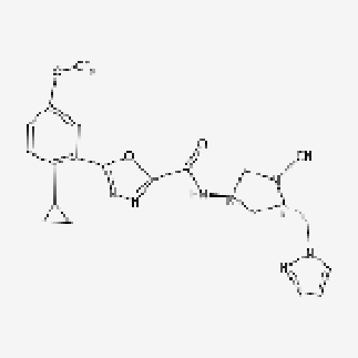 N#CN1C[C@H](NC(=O)c2nnc(-c3cc(OC(F)(F)F)ccc3C3CC3)o2)C[C@H]1Cn1ccnn1